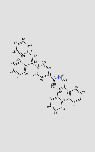 c1ccc(-c2cnc(-c3ccc(-c4cc5ccccc5c5ccccc45)cc3)nc2-c2ccccc2)cc1